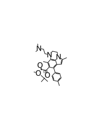 COC(=O)[C@@H](OC(C)(C)C)c1c(C)c2c3c(cc(C)n3CCN2CCN(C)C)c1-c1ccc(C)cc1